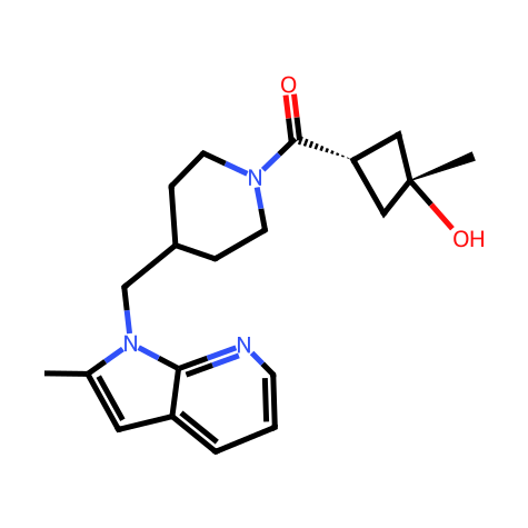 Cc1cc2cccnc2n1CC1CCN(C(=O)[C@H]2C[C@@](C)(O)C2)CC1